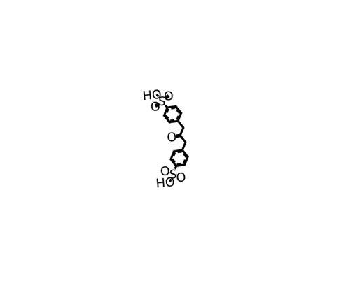 O=C(Cc1ccc(S(=O)(=O)O)cc1)Cc1ccc(S(=O)(=O)O)cc1